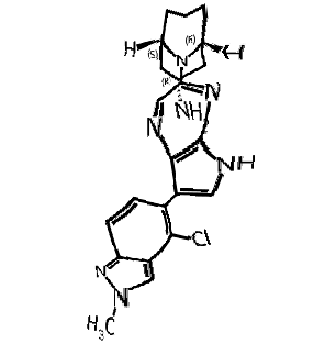 Cn1cc2c(Cl)c(-c3c[nH]c4nc(N5[C@@H]6CC[C@H]5C[C@@H](N)C6)cnc34)ccc2n1